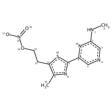 CNc1cncc(-c2nc(C)c(CCO[N+](=O)[O-])s2)n1